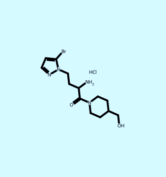 Cl.NC(CCn1nccc1Br)C(=O)N1CCC(CO)CC1